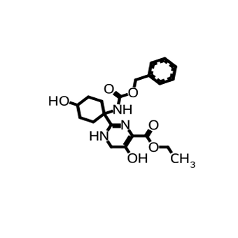 CCOC(=O)C1=C(O)CNC(C2(NC(=O)OCc3ccccc3)CCC(O)CC2)=N1